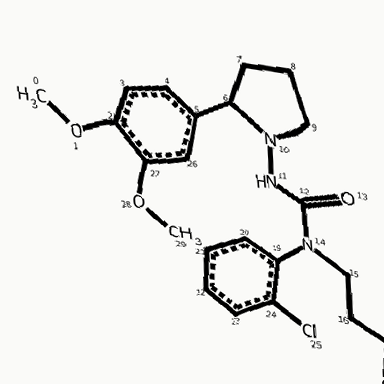 COc1ccc(C2CCCN2NC(=O)N(CCC=O)c2ccccc2Cl)cc1OC